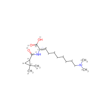 CN(C)CCCCCCC/C=C(\NC(=O)C1CC1(C)C)C(=O)O